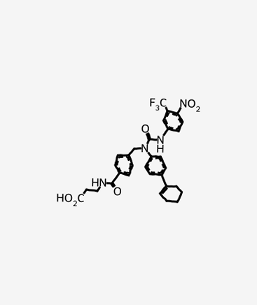 O=C(O)CCNC(=O)c1ccc(CN(C(=O)Nc2ccc([N+](=O)[O-])c(C(F)(F)F)c2)c2ccc(C3=CCCCC3)cc2)cc1